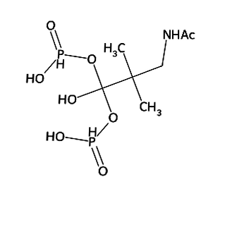 CC(=O)NCC(C)(C)C(O)(O[PH](=O)O)O[PH](=O)O